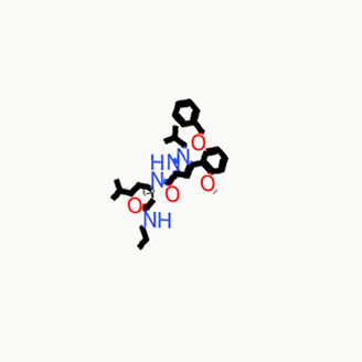 CCCNC(=O)C[C@H](CCC(C)C)NC(=O)c1cc(-c2c(OC)cccc2OCc2ccccc2)n(CC(C)C)n1